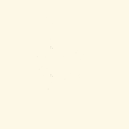 c1ccc(-c2ccc(N(c3ccc(-c4ccccc4)cc3)c3cccc(-c4cccc(N(c5ccc(-c6ccccc6)cc5)c5cccc6c5oc5ccccc56)c4)c3)cc2)cc1